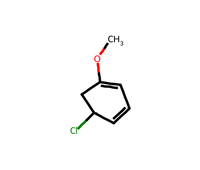 COC1=CC=C[C](Cl)C1